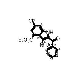 CCOC(=O)c1cc(Cl)cc2[nH]c(C(=O)c3cncnc3)c(NC(C)=O)c12